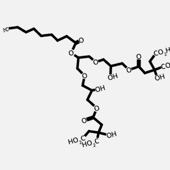 CCCCCCCCCCCCCCCCCC(=O)OC(COCC(O)COC(=O)CC(O)(CC(=O)O)C(=O)O)COCC(O)COC(=O)CC(O)(CC(=O)O)C(=O)O